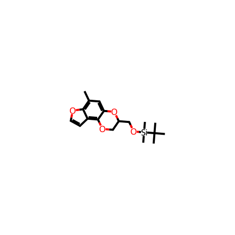 Cc1cc2c(c3ccoc13)OCC(CO[Si](C)(C)C(C)(C)C)O2